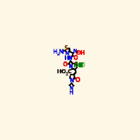 Cl.Cl.Nc1nc(/C(=N/O)C(=O)NC2C(=O)N3C(C(=O)O)=C(C=C4CCN(C5CNC5)C4=O)CSC23)cs1